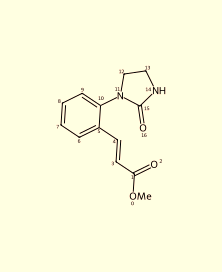 COC(=O)C=Cc1ccccc1N1CCNC1=O